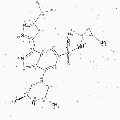 CC1CC1(C)NS(=O)(=O)c1cc(N2C[C@H](C)N[C@@H](C)C2)c2cnc(-c3nnc(C(F)F)s3)n2c1